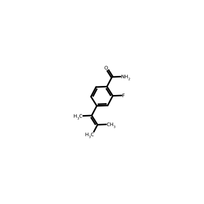 CC(C)=C(C)c1ccc(C(N)=O)c(F)c1